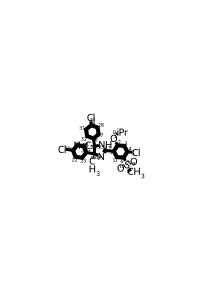 CC(C)Oc1cc(Cl)c(S(C)(=O)=O)cc1C1=N[C@@](C)(c2ccc(Cl)cc2)[C@@](C)(c2ccc(Cl)cc2)N1